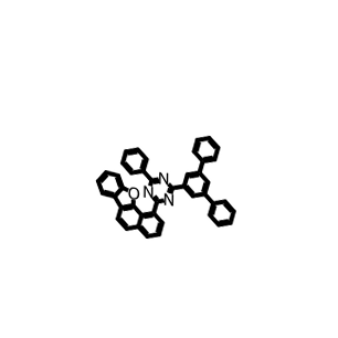 c1ccc(-c2cc(-c3ccccc3)cc(-c3nc(-c4ccccc4)nc(-c4cccc5ccc6c7ccccc7oc6c45)n3)c2)cc1